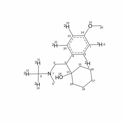 [2H]c1c([2H])c(C(CN(C)C([2H])([2H])[2H])C2(O)CCCCC2)c([2H])c([2H])c1OC